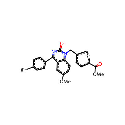 COC(=O)c1ccc(Cn2c(=O)nc(-c3ccc(C(C)C)cc3)c3cc(OC)ccc32)cc1